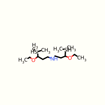 CCOC(CCNCCC(OCC)[SiH](C)C)[SiH](C)C